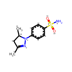 CC1=NN(c2ccc(S(N)(=O)=O)cc2)C(C)C1